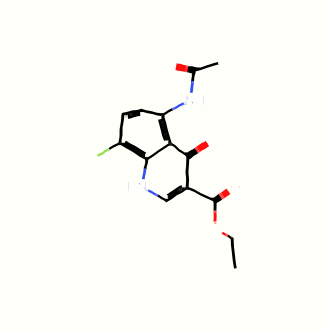 CCOC(=O)c1c[nH]c2c(F)ccc(NC(C)=O)c2c1=O